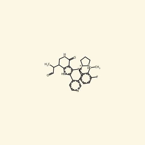 COc1c(F)cccc1Nc1c(-c2ccncc2OC[C@H]2CCCN2)[nH]c2c1C(=O)NCC2C(C)C=O